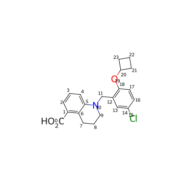 O=C(O)c1cccc2c1CCCN2Cc1cc(Cl)ccc1OC1CCC1